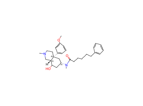 COc1cccc([C@@]23CCN(C)C[C@H]2C(O)C[C@@H](N(C)C(=O)CCCCCc2ccccc2)C3)c1